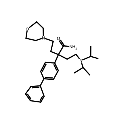 CC(C)N(CCC(CCN1CCOCC1)(C(N)=O)c1ccc(-c2ccccc2)cc1)C(C)C